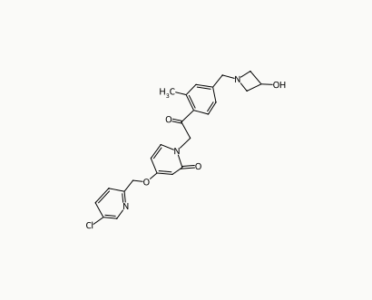 Cc1cc(CN2CC(O)C2)ccc1C(=O)Cn1ccc(OCc2ccc(Cl)cn2)cc1=O